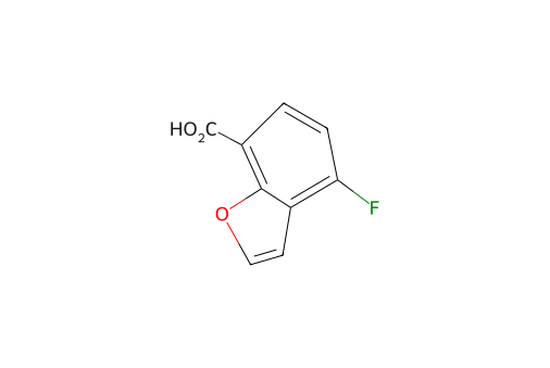 O=C(O)c1ccc(F)c2ccoc12